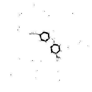 CCCCCC[C@H]1CC[C@H](C[C@H]2CC[C@H](CCC)CC2)CC1